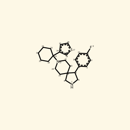 Fc1ccc(C2CNCC23CCN(C2(c4ccsc4)CCCCC2)CC3)cc1